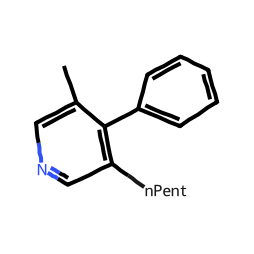 CCCCCc1cncc(C)c1-c1ccccc1